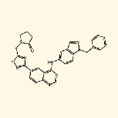 O=C1CCCN1Cc1nc(-c2ccc3ncnc(Nc4ccc5c(cnn5Cc5ccccc5)c4)c3c2)no1